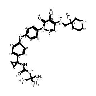 CC(C)(C)OC(=O)NC1(c2ccc(Oc3ccc(-n4ncc(NC[C@@]5(F)CCCOC5)c(Cl)c4=O)cc3)cc2)CC1